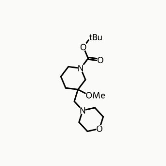 COC1(CN2CCOCC2)CCCN(C(=O)OC(C)(C)C)C1